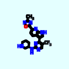 Cc1noc(-c2ccc3c(-c4nc(N[C@H]5CCCNC5)ncc4C(F)(F)F)c[nH]c3n2)n1